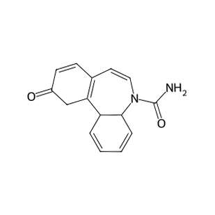 NC(=O)N1C=CC2=C(CC(=O)C=C2)C2C=CC=CC21